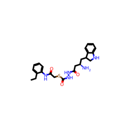 CCc1ccccc1NC(=O)CSC(=O)NNC(=O)C[C@H](N)CC1CNc2ccccc21